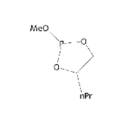 CCCC1COP(OC)O1